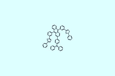 C1=C(c2cccc(-c3c4ccccc4c(-c4cccc(-c5ccc(-c6ccccc6)s5)c4)c4cc(-c5ccc(N(c6ccccc6)c6ccccc6)cc5)ccc34)c2)SC(c2ccccc2)C1